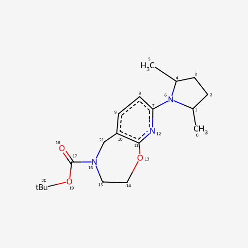 CC1CCC(C)N1c1ccc2c(n1)OCCN(C(=O)OC(C)(C)C)C2